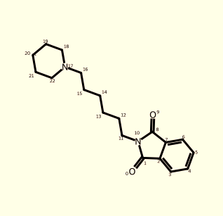 O=C1c2ccccc2C(=O)N1CCCCCCN1CC[CH]CC1